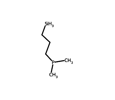 CP(C)CCC[SiH3]